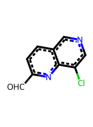 O=Cc1ccc2cncc(Cl)c2n1